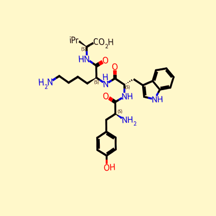 CC(C)[C@H](NC(=O)[C@H](CCCCN)NC(=O)[C@H](Cc1c[nH]c2ccccc12)NC(=O)[C@@H](N)Cc1ccc(O)cc1)C(=O)O